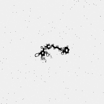 COc1cc(N)c(Cl)cc1C(=O)NCC1CCN(CCCCNC(=O)c2ccccc2)CC1